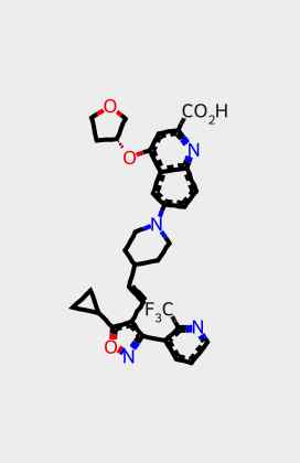 O=C(O)c1cc(O[C@@H]2CCOC2)c2cc(N3CCC(/C=C/c4c(-c5cccnc5C(F)(F)F)noc4C4CC4)CC3)ccc2n1